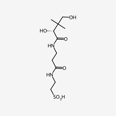 CC(C)(CO)[C@@H](O)C(=O)NCCC(=O)NCCS(=O)(=O)O